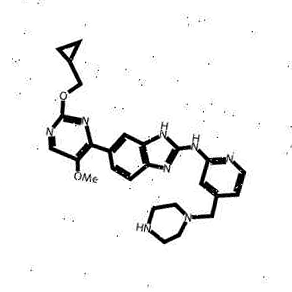 COc1cnc(OCC2CC2)nc1-c1ccc2nc(Nc3cc(CN4CCNCC4)ccn3)[nH]c2c1